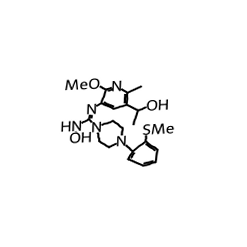 COc1nc(C)c(C(C)O)cc1N=C(NO)N1CCN(c2ccccc2SC)CC1